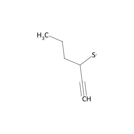 C#CC([S])CCC